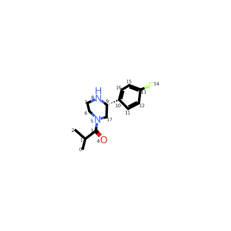 CC(C)C(=O)N1CCN[C@H](c2ccc(F)cc2)C1